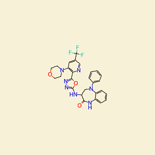 O=C1Nc2ccccc2N(c2ccccc2)CC1Nc1nnc(-c2ncc(C(F)(F)F)cc2N2CCOCC2)o1